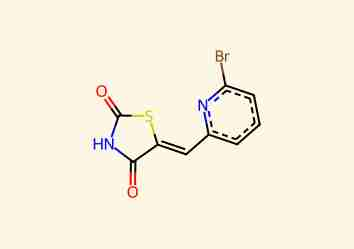 O=C1NC(=O)C(=Cc2cccc(Br)n2)S1